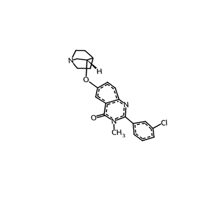 Cn1c(-c2cccc(Cl)c2)nc2ccc(O[C@@H]3CN4CCC3CC4)cc2c1=O